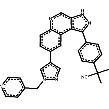 CC(C)(C#N)c1ccc(-c2n[nH]c3cnc4ccc(-c5cnn(Cc6ccncc6)c5)cc4c23)cc1